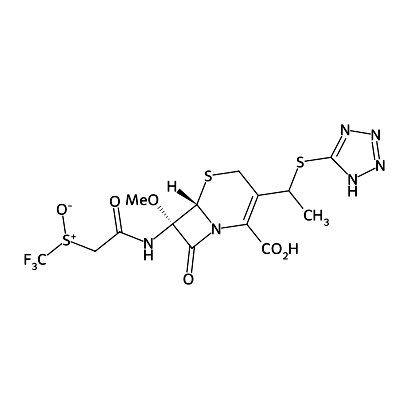 CO[C@@]1(NC(=O)C[S+]([O-])C(F)(F)F)C(=O)N2C(C(=O)O)=C(C(C)Sc3nnn[nH]3)CS[C@H]21